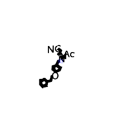 CC(=O)N(CCC#N)/N=C/c1ccc(OCCc2ccccc2)cc1